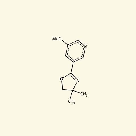 COc1cncc(C2=NC(C)(C)CO2)c1